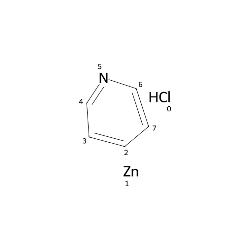 Cl.[Zn].c1ccncc1